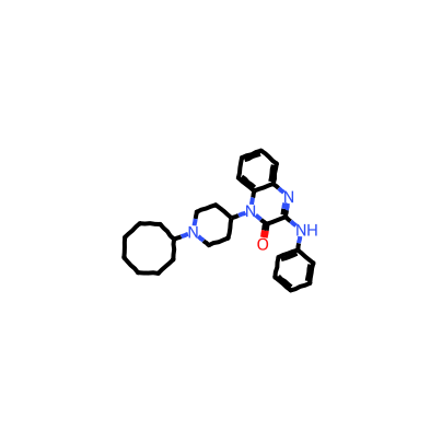 O=c1c(Nc2ccccc2)nc2ccccc2n1C1CCN(C2CCCCCCC2)CC1